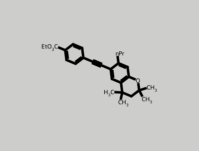 CCCc1cc2c(cc1C#Cc1ccc(C(=O)OCC)cc1)C(C)(C)CC(C)(C)O2